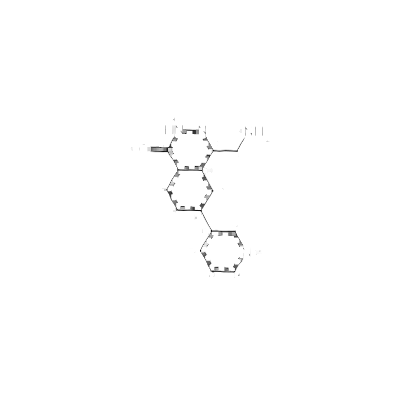 NCc1n[nH]c(=O)c2ccc(-c3cccnc3)cc12